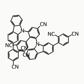 N#Cc1cc(C#N)cc(-c2c(-n3c4ccccc4c4ccc(-c5ccc(C#N)cc5C#N)cc43)cc(C#N)cc2-n2c3ccccc3c3ccc(-c4ccc(C#N)cc4C#N)cc32)c1